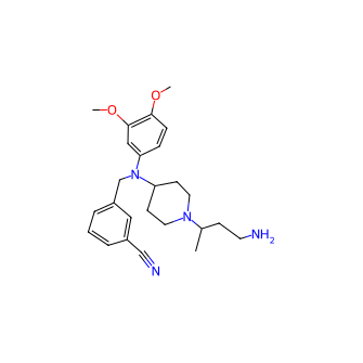 COc1ccc(N(Cc2cccc(C#N)c2)C2CCN(C(C)CCN)CC2)cc1OC